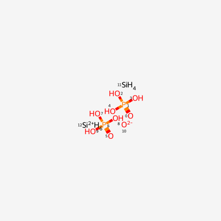 O=P(O)(O)O.O=P(O)(O)O.[O-2].[SiH4].[SiH6+2]